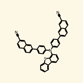 N#Cc1ccc2ccc(-c3ccc(N(c4ccc(-c5ccc6ccc(C#N)cc6c5)cc4)c4cccc5c4sc4ccccc45)cc3)cc2c1